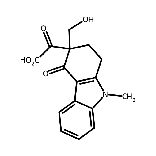 Cn1c2c(c3ccccc31)C(=O)C(CO)(C(=O)C(=O)O)CC2